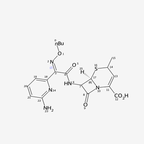 CCCCO/N=C(\C(=O)NC1C(=O)N2C(C(=O)O)=CC(C)S[C@H]12)c1cccc(N)n1